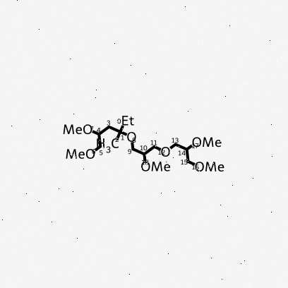 CCC(C)(CC(COC)OC)OCC(COCC(COC)OC)OC